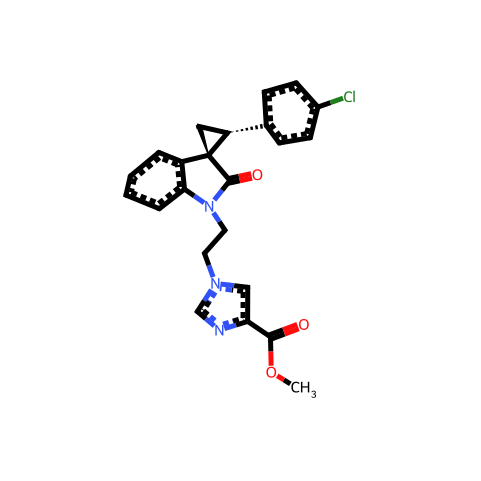 COC(=O)c1cn(CCN2C(=O)[C@]3(C[C@@H]3c3ccc(Cl)cc3)c3ccccc32)cn1